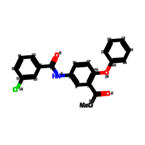 COC(=O)c1cc(NC(=O)c2cccc(Cl)c2)ccc1Oc1ccccc1